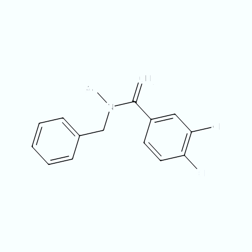 C=C(c1ccc(Cl)c(Cl)c1)N(Cc1ccccc1)C(C)=O